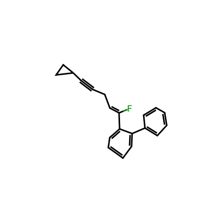 FC(=CCC#CC1CC1)c1ccccc1-c1ccccc1